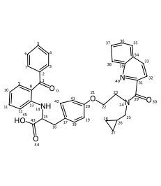 O=C(c1ccccc1)c1ccccc1NC(Cc1ccc(OCCN(CC2CC2)C(=O)c2ccc3ccccc3n2)cc1)C(=O)O